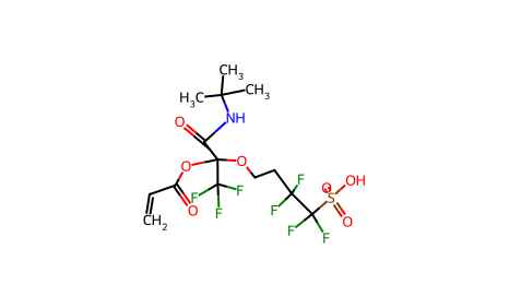 C=CC(=O)OC(OCCC(F)(F)C(F)(F)S(=O)(=O)O)(C(=O)NC(C)(C)C)C(F)(F)F